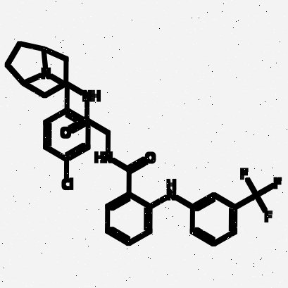 O=C(CNC(=O)c1ccccc1Nc1cccc(C(F)(F)F)c1)NC1CC2CCC(C1)N2Cc1ccc(Cl)cc1